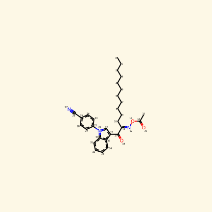 CCCCCCCCCCC/C(=N\OC(C)=O)C(=O)c1cn(-c2ccc(C#N)cc2)c2ccccc12